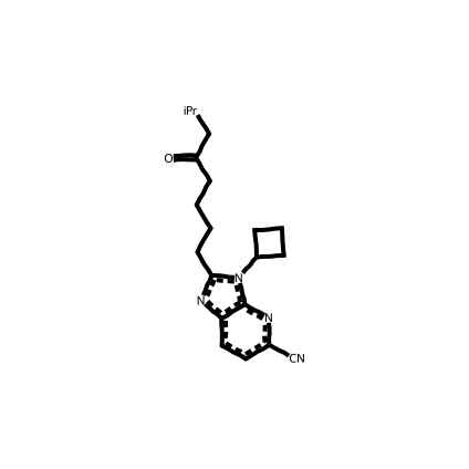 CC(C)CC(=O)CCCCc1nc2ccc(C#N)nc2n1C1CCC1